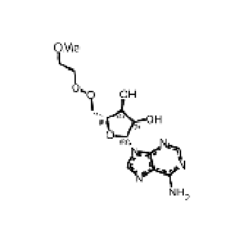 COCCOOC[C@H]1O[C@@H](n2cnc3c(N)ncnc32)[C@H](O)[C@@H]1O